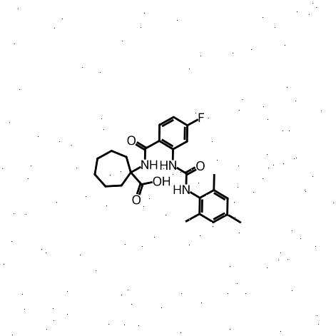 Cc1cc(C)c(NC(=O)Nc2cc(F)ccc2C(=O)NC2(C(=O)O)CCCCCC2)c(C)c1